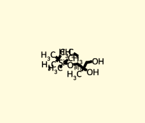 CC[C@@H](O[Si](C)(C)C(C)(C)C)[C@@](C)(O)CO